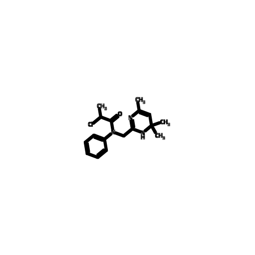 CC1=CC(C)(C)NC(CN(C(=O)C(C)Cl)c2ccccc2)=N1